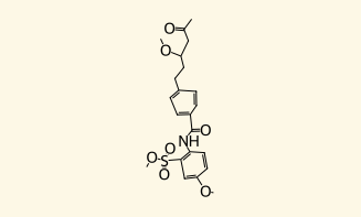 COc1ccc(NC(=O)c2ccc(CCC(CC(C)=O)OC)cc2)c(S(=O)(=O)OC)c1